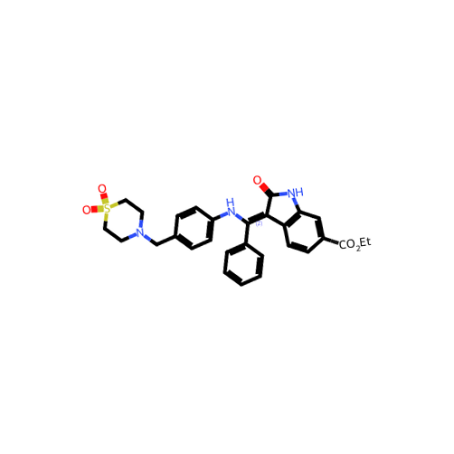 CCOC(=O)c1ccc2c(c1)NC(=O)/C2=C(\Nc1ccc(CN2CCS(=O)(=O)CC2)cc1)c1ccccc1